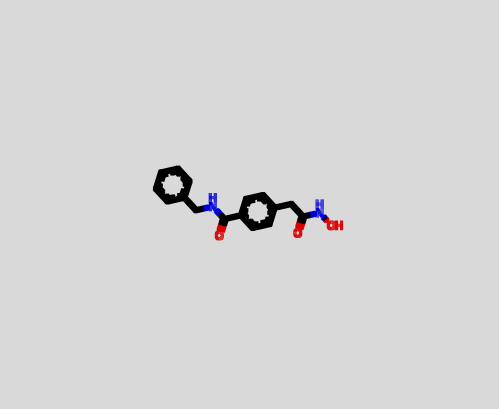 O=C(Cc1ccc(C(=O)NCc2ccccc2)cc1)NO